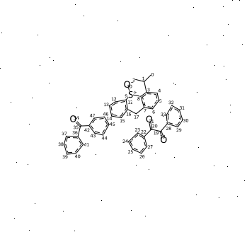 CC(C)c1cccc2c1[S+]([O-])c1ccccc1C2.O=C(C(=O)c1ccccc1)c1ccccc1.O=C(c1ccccc1)c1ccccc1